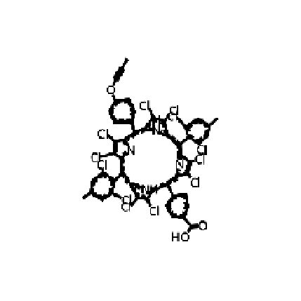 CC#COc1ccc(-c2c3nc(c(-c4c(Cl)cc(C)cc4Cl)c4[nH]c(c(Cl)c4Cl)c(-c4ccc(C(=O)O)cc4)c4nc(c(-c5c(Cl)cc(C)cc5Cl)c5[nH]c2c(Cl)c5Cl)C(Cl)=C4Cl)C(Cl)=C3Cl)cc1